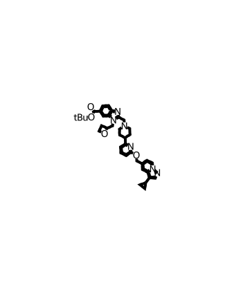 CC(C)(C)OC(=O)c1ccc2nc(CN3CCC(c4cccc(OCc5ccn6ncc(C7CC7)c6c5)n4)CC3)n(CC3CCO3)c2c1